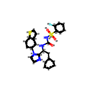 O=C(N[C@@H](Cc1ccccc1)c1nccn1-c1ccc2sccc2c1)NS(=O)(=O)c1ccccc1F